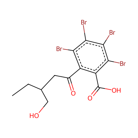 CCC(CO)CC(=O)c1c(Br)c(Br)c(Br)c(Br)c1C(=O)O